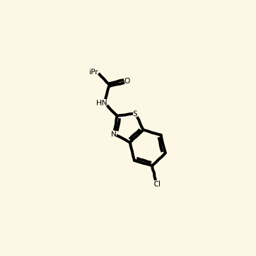 CC(C)C(=O)Nc1nc2cc(Cl)ccc2s1